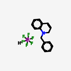 C1=Cc2ccccc2N(Cc2ccccc2)C1.F[P-](F)(F)(F)(F)F.[H+]